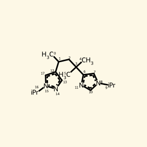 CC(CC(C)(C)c1cn(C(C)C)cn1)c1cnn(C(C)C)c1